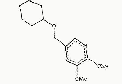 COc1cc(COC2CCCCC2)cnc1C(=O)O